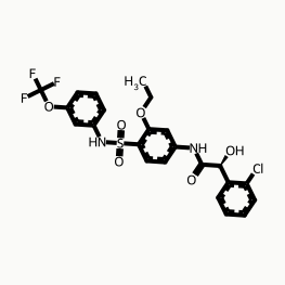 CCOc1cc(NC(=O)[C@@H](O)c2ccccc2Cl)ccc1S(=O)(=O)Nc1cccc(OC(F)(F)F)c1